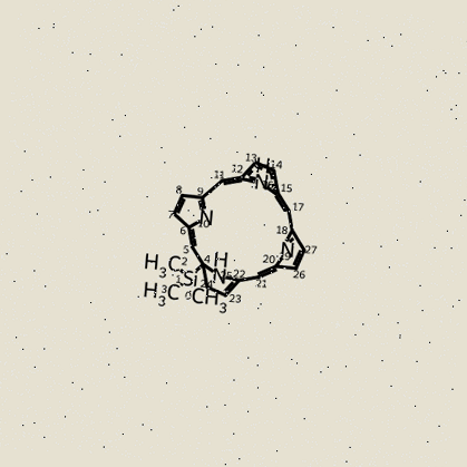 C[Si](C)(C)C12C=C3C=CC(=N3)C=c3ccc([nH]3)=CC3=NC(=CC(=CC1)N2)C=C3